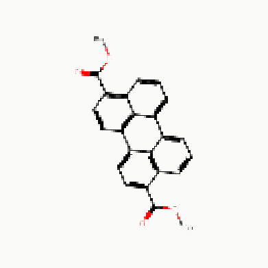 CCC(C)OC(=O)c1ccc2c3ccc(C(=O)OC(C)CC)c4cccc(c5cccc1c52)c43